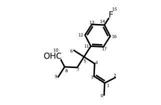 CC(C)=CCC(C)(CC(C)C=O)c1ccc(F)cc1